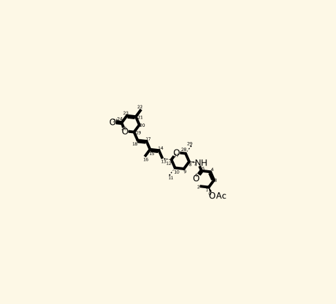 CC(=O)O[C@@H](C)/C=C\C(=O)N[C@@H]1C[C@H](C)[C@H](C/C=C(C)/C=C/C2CC(C)=CC(=O)O2)O[C@@H]1C